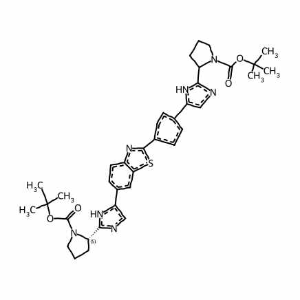 CC(C)(C)OC(=O)N1CCCC1c1ncc(-c2ccc(-c3nc4ccc(-c5cnc([C@@H]6CCCN6C(=O)OC(C)(C)C)[nH]5)cc4s3)cc2)[nH]1